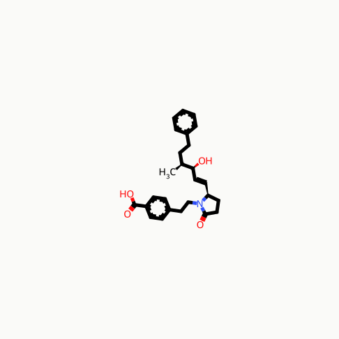 C[C@@H](CCc1ccccc1)[C@@H](O)C=C[C@H]1CCC(=O)N1CCc1ccc(C(=O)O)cc1